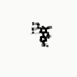 C=CC(O)c1nc(C(C)C)c(CO)c(-c2ccc(C)cc2)c1CCCCC